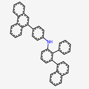 c1ccc(-c2c(Nc3ccc(-c4cc5ccccc5c5ccccc45)cc3)cccc2-c2cccc3ccccc23)cc1